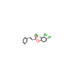 O=C(C=Cc1ccccc1)Oc1ccc(Br)c(Br)c1Br